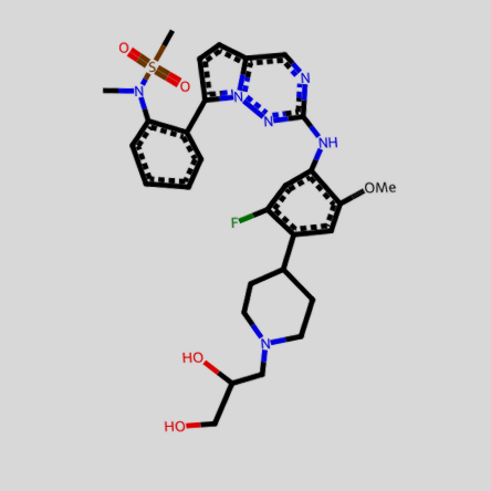 COc1cc(C2CCN(CC(O)CO)CC2)c(F)cc1Nc1ncc2ccc(-c3ccccc3N(C)S(C)(=O)=O)n2n1